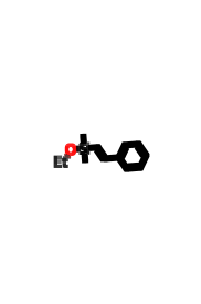 CCO[Si](C)(C)C=Cc1ccccc1